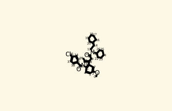 COc1ccc2c(c1)c(CC(=O)N(CCC1CCCCC1)C1CCCCC1)c(C)n2C(=O)c1ccc(Cl)cc1